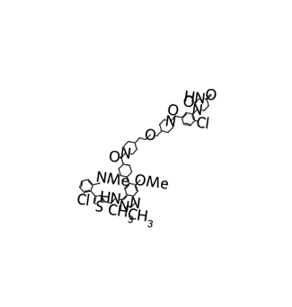 CNCc1cccc(Cl)c1-c1csc([C@@H](C)Nc2nc(C)nc3cc(OC)c(C4CCC(C(=O)N5CCC(CCOCC6CCN(C(=O)c7ccc(Cl)c(N8CCC(=O)NC8=O)c7)CC6)CC5)CC4)cc23)c1